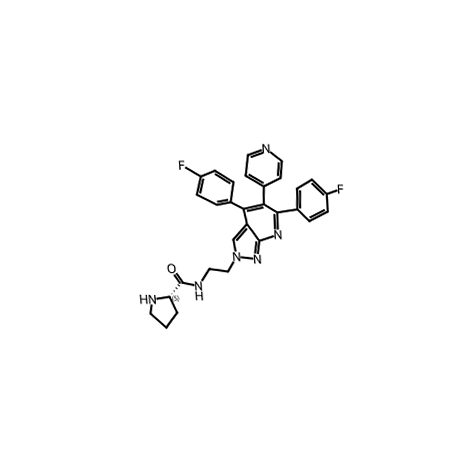 O=C(NCCn1cc2c(-c3ccc(F)cc3)c(-c3ccncc3)c(-c3ccc(F)cc3)nc2n1)[C@@H]1CCCN1